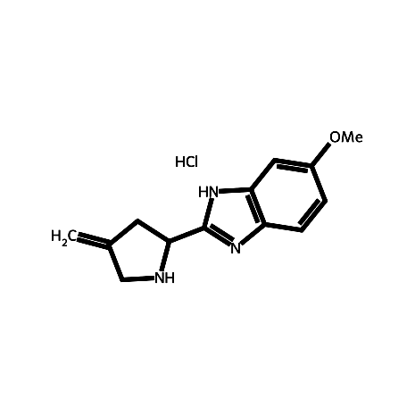 C=C1CNC(c2nc3ccc(OC)cc3[nH]2)C1.Cl